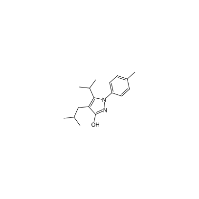 Cc1ccc(-n2nc(O)c(CC(C)C)c2C(C)C)cc1